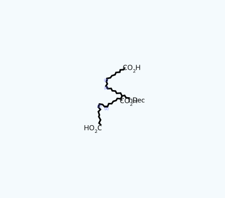 CCCCCCCCCCCCCC(CCCCC/C=C\C/C=C\CCCCCCCC(=O)O)C(CCCCC/C=C\C/C=C\CCCCCCCC(=O)O)C(=O)O